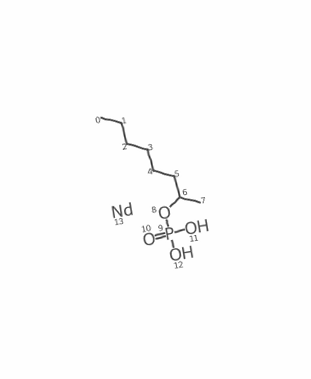 CCCCCCC(C)OP(=O)(O)O.[Nd]